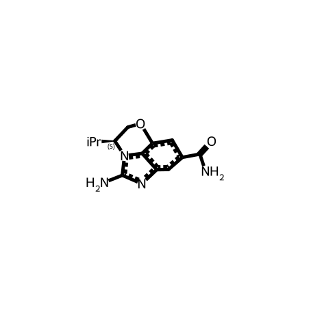 CC(C)[C@H]1COc2cc(C(N)=O)cc3nc(N)n1c23